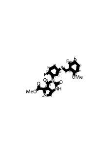 COC(=O)c1scc2[nH]c(=O)n(-c3cc(SCc4c(OC)ccc(F)c4F)ccc3F)c(=O)c12